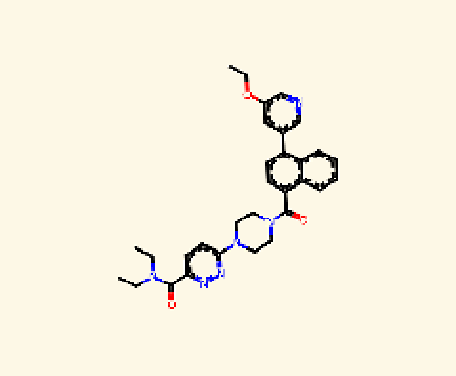 CCOc1cncc(-c2ccc(C(=O)N3CCN(c4ccc(C(=O)N(CC)CC)nn4)CC3)c3ccccc23)c1